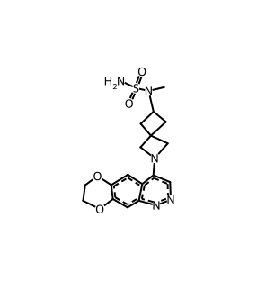 CN(C1CC2(C1)CN(c1cnnc3cc4c(cc13)OCCO4)C2)S(N)(=O)=O